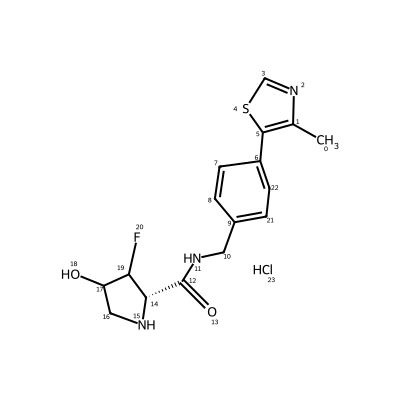 Cc1ncsc1-c1ccc(CNC(=O)[C@@H]2NCC(O)C2F)cc1.Cl